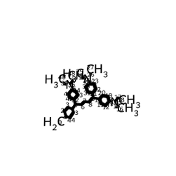 C=C1C=CC(C(C=CC=C(c2ccc(N(CC)CC)cc2)c2ccc(N(CC)CC)cc2)c2ccc(N(CC)CC)cc2)C=C1